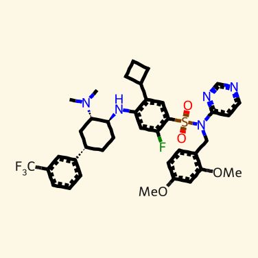 COc1ccc(CN(c2ccncn2)S(=O)(=O)c2cc(C3CCC3)c(N[C@H]3CC[C@H](c4cccc(C(F)(F)F)c4)C[C@@H]3N(C)C)cc2F)c(OC)c1